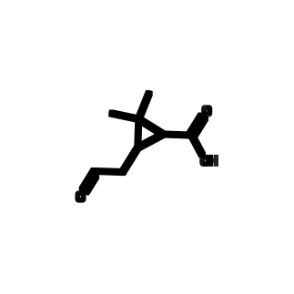 CC1(C)C(CC=O)C1C(=O)O